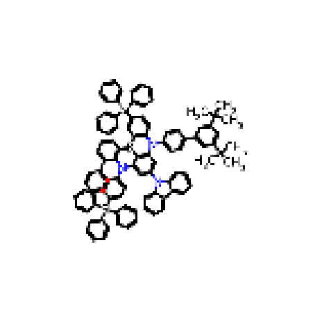 CC(C)(C)c1cc(-c2ccc(N3c4ccc([Si](c5ccccc5)(c5ccccc5)c5ccccc5)cc4B4c5cccc(-c6ccccc6)c5N(c5ccc([Si](c6ccccc6)(c6ccccc6)c6ccccc6)cc5)c5cc(-n6c7ccccc7c7ccccc76)cc3c54)cc2)cc(C(C)(C)C)c1